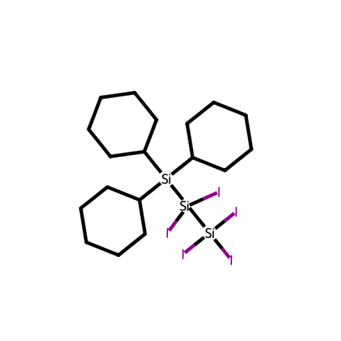 I[Si](I)(I)[Si](I)(I)[Si](C1CCCCC1)(C1CCCCC1)C1CCCCC1